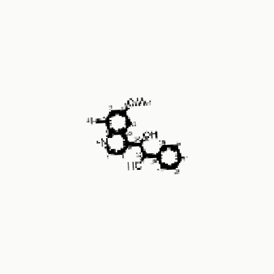 COc1cc(F)c2nccc(C(O)C(O)c3ccccc3)c2c1